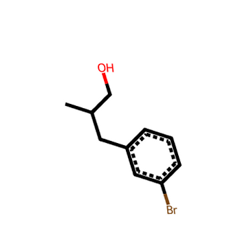 CC(CO)Cc1cccc(Br)c1